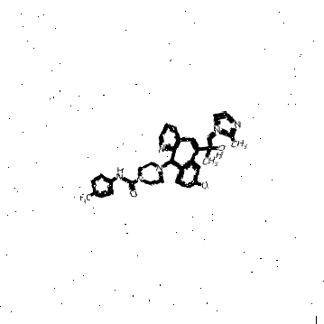 Cc1nccn1CC(C)(O)C1=Cc2cccnc2C(N2CCN(C(=O)Nc3ccc(C(F)(F)F)cc3)CC2)c2ccc(Cl)cc21